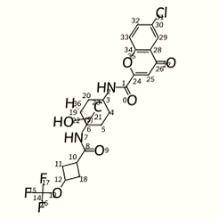 O=C(NC12CCC(NC(=O)C3CC(OC(F)(F)F)C3)(CC1)[C@@H](O)C2)c1cc(=O)c2cc(Cl)ccc2o1